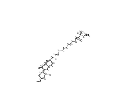 CCc1ccc(-c2cc3ccc(OCCSCCSCCSCCOC(=O)C(C)(N)CN)nc3oc2=O)c(F)c1